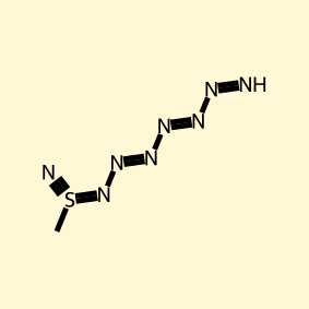 CS(#N)=NN=NN=NN=N